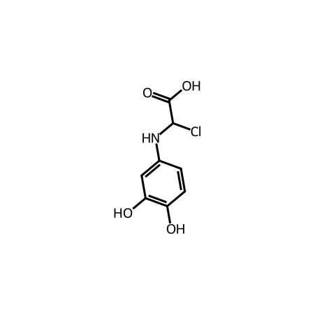 O=C(O)C(Cl)Nc1ccc(O)c(O)c1